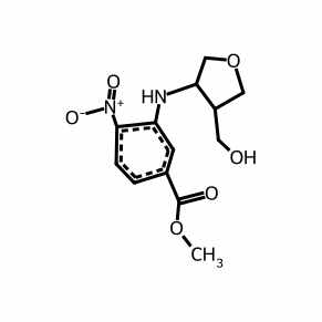 COC(=O)c1ccc([N+](=O)[O-])c(NC2COCC2CO)c1